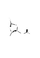 CC(=O)Oc1sc(N)nc1C